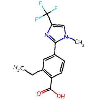 CCc1cc(-c2nc(C(F)(F)F)cn2C)ccc1C(=O)O